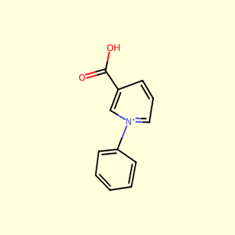 O=C(O)c1ccc[n+](-c2ccccc2)c1